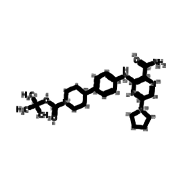 CC(C)(C)OC(=O)N1CCC(c2ccc(Nc3nc(N4CCCC4)cnc3C(N)=O)cc2)CC1